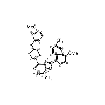 COc1ccnc(CC2CCN(C(=O)c3nc(-c4ccc(OC)c5nc(C(F)(F)F)ccc45)oc3[C@H](C)N)CC2)n1